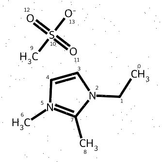 CCn1cc[n+](C)c1C.CS(=O)(=O)[O-]